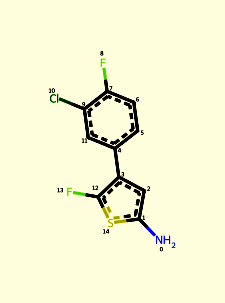 Nc1cc(-c2ccc(F)c(Cl)c2)c(F)s1